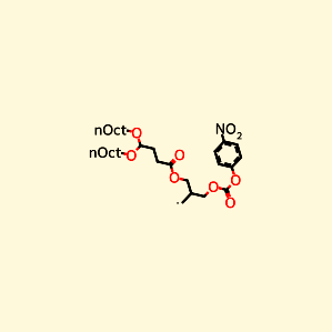 [CH2]C(COC(=O)CCC(OCCCCCCCC)OCCCCCCCC)COC(=O)Oc1ccc([N+](=O)[O-])cc1